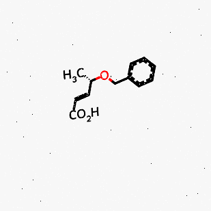 C[C@@H](/C=C/C(=O)O)OCc1ccccc1